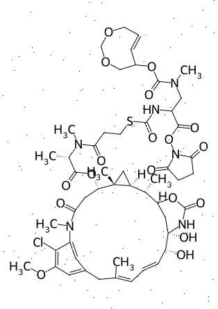 COc1cc2cc(c1Cl)N(C)C(=O)C[C@H](OC(=O)[C@H](C)N(C)C(=O)CCSC(=O)NC(CN(C)C(=O)OC1/C=C/COCOC1)C(=O)ON1C(=O)CCC1=O)[C@]1(C)C[C@H]1[C@H](C)[C@@H]1C[C@@](O)(NC(=O)O1)[C@H](O)/C=C/C=C(\C)C2